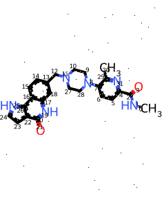 CNC(=O)c1ccc(N2CCN(Cc3ccc4c(c3)[nH]c(=O)c3cc[nH]c34)CC2)c(C)n1